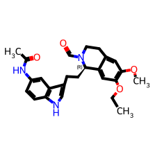 CCOc1cc2c(cc1OC)CCN(C=O)[C@@H]2CCc1c[nH]c2ccc(NC(C)=O)cc12